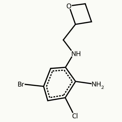 Nc1c(Cl)cc(Br)cc1NCC1CCO1